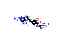 CCCC(NC(=O)c1ccc(CCc2cnc3nc(N)nc(N)c3n2)cc1O)C(=O)O